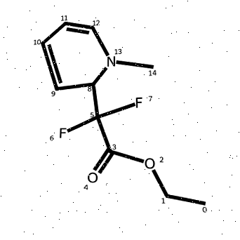 CCOC(=O)C(F)(F)C1C=CC=CN1C